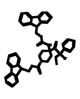 CC[N+]([O-])(C(=O)C1(NC(=O)OCC2c3ccccc3-c3ccccc32)CCN(C(=O)OCC2c3ccccc3-c3ccccc32)CC1)c1ccccc1